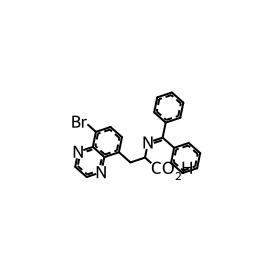 O=C(O)C(Cc1ccc(Br)c2nccnc12)N=C(c1ccccc1)c1ccccc1